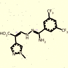 Cn1cc(/C(=C\N/N=C(\N)c2cc(C(F)(F)F)cc(C(F)(F)F)c2)C(=O)O)cn1